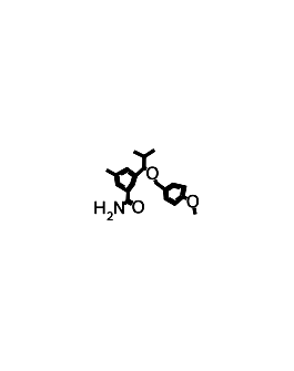 COc1ccc(COC(c2cc(C)cc(C(N)=O)c2)C(C)C)cc1